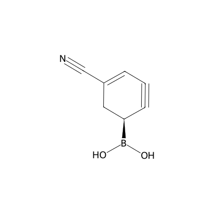 N#CC1=CC#C[C@@H](B(O)O)C1